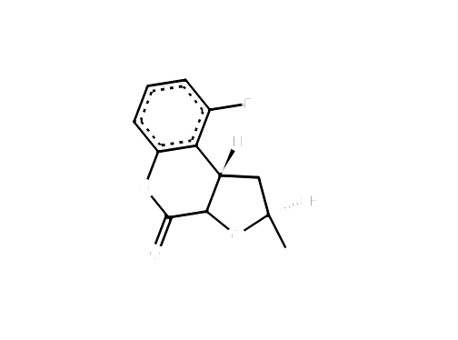 C[C@]1(C(F)(F)F)C[C@H]2c3c(F)cccc3OC(=O)C2O1